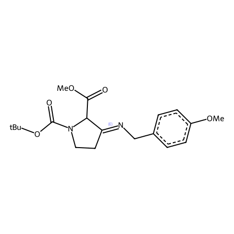 COC(=O)C1/C(=N/Cc2ccc(OC)cc2)CCN1C(=O)OC(C)(C)C